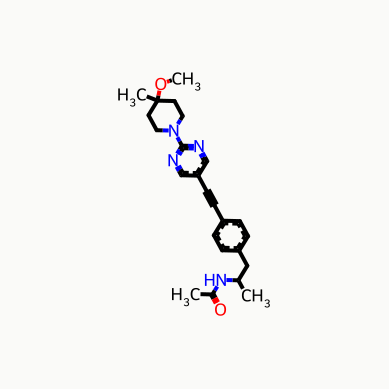 COC1(C)CCN(c2ncc(C#Cc3ccc(CC(C)NC(C)=O)cc3)cn2)CC1